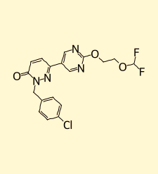 O=c1ccc(-c2cnc(OCCOC(F)F)nc2)nn1Cc1ccc(Cl)cc1